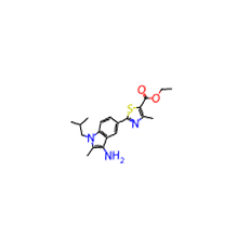 CCOC(=O)c1sc(-c2ccc3c(c2)c(N)c(C)n3CC(C)C)nc1C